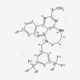 CSc1nc2c(c(-c3ccc(F)cc3)n1)C(=O)N(Cc1cc(C(F)(F)F)cc(C(F)(F)F)c1)CCCN2